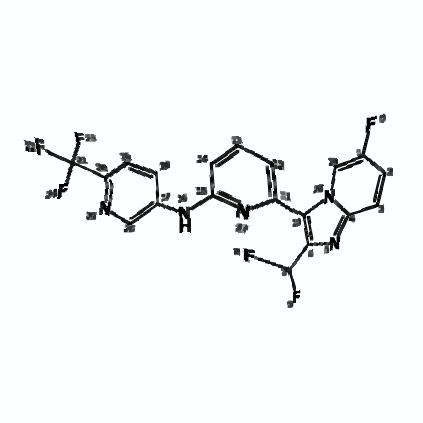 Fc1ccc2nc(C(F)F)c(-c3cccc(Nc4ccc(C(F)(F)F)nc4)n3)n2c1